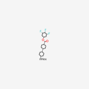 CCCCCCc1ccc(-c2ccc(C(=O)Oc3cc(F)c(F)c(F)c3)cc2)cc1